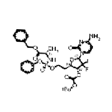 C[C@H](NP(=O)(OCC[C@H]1O[C@@H](n2ccc(N)nc2=O)C(F)(F)[C@@H]1OC(=O)OC(C)(C)C)Oc1ccccc1)C(=O)OCc1ccccc1